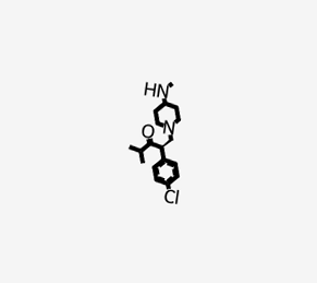 CNC1CCN(C[C@H](C(=O)C(C)C)c2ccc(Cl)cc2)CC1